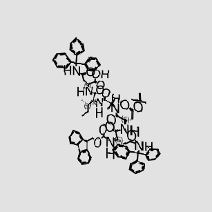 CC[C@H](C)[C@H](NC(=O)C(C)(C)NC(=O)[C@H](CC(=O)OC(C)(C)C)NC(=O)[C@H](CC(=O)NC(c1ccccc1)(c1ccccc1)c1ccccc1)NC(=O)OCC1c2ccccc2-c2ccccc21)C(=O)N[C@@H](CC(=O)NC(c1ccccc1)(c1ccccc1)c1ccccc1)C(=O)O